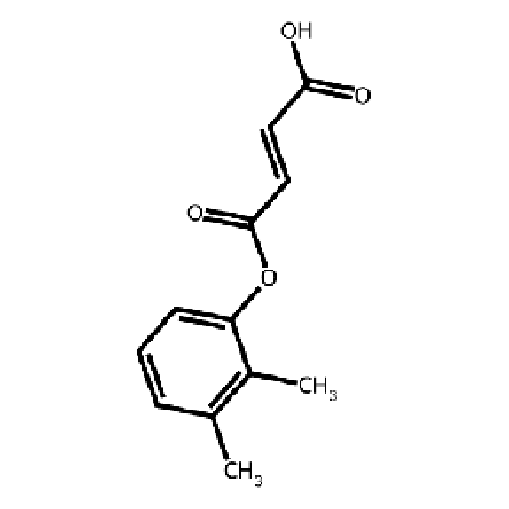 Cc1cccc(OC(=O)C=CC(=O)O)c1C